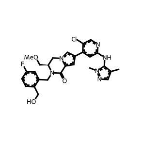 COC[C@H]1Cn2cc(-c3cc(Nc4c(C)cnn4C)ncc3Cl)cc2C(=O)N1Cc1cc(F)ccc1CO